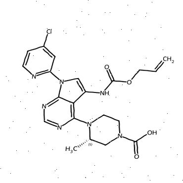 C=CCOC(=O)Nc1cn(-c2cc(Cl)ccn2)c2ncnc(N3CCN(C(=O)O)C[C@@H]3C)c12